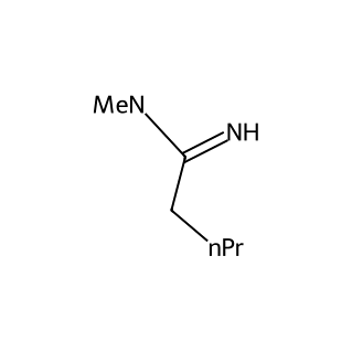 CCCCC(=N)NC